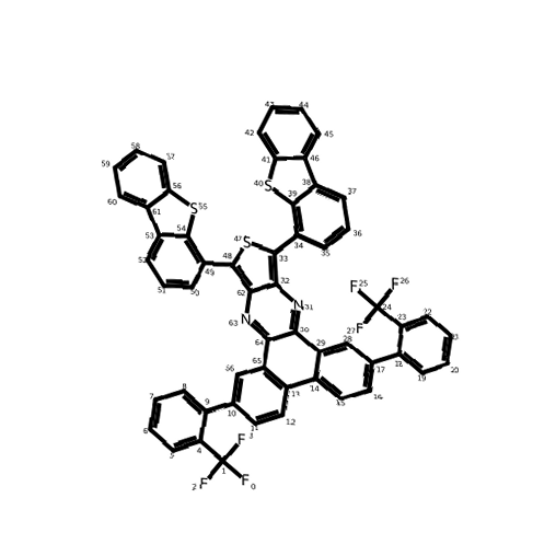 FC(F)(F)c1ccccc1-c1ccc2c3ccc(-c4ccccc4C(F)(F)F)cc3c3nc4c(-c5cccc6c5sc5ccccc56)sc(-c5cccc6c5sc5ccccc56)c4nc3c2c1